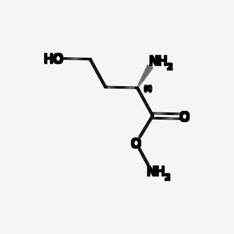 NOC(=O)[C@@H](N)CCO